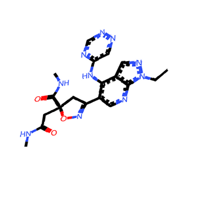 CCn1ncc2c(Nc3cnncn3)c(C3=NOC(CC(=O)NC)(C(=O)NC)C3)cnc21